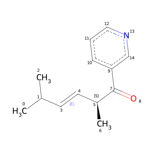 CC(C)/C=C/[C@H](C)C(=O)c1cccnc1